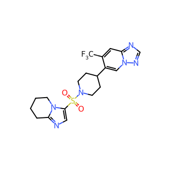 O=S(=O)(c1cnc2n1CCCC2)N1CCC(c2cn3ncnc3cc2C(F)(F)F)CC1